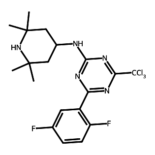 CC1(C)CC(Nc2nc(-c3cc(F)ccc3F)nc(C(Cl)(Cl)Cl)n2)CC(C)(C)N1